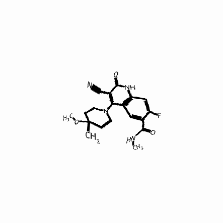 CNC(=O)c1cc2c(N3CCC(C)(OC)CC3)c(C#N)c(=O)[nH]c2cc1F